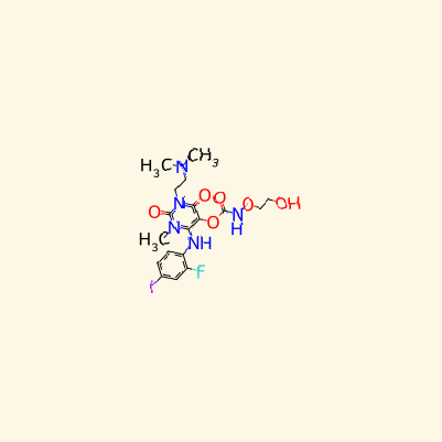 CN(C)CCn1c(=O)c(OC(=O)NOCCO)c(Nc2ccc(I)cc2F)n(C)c1=O